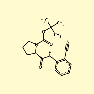 CC(C)(C)OC(=O)N1CCC[C@@H]1C(=O)Nc1ccccc1C#N